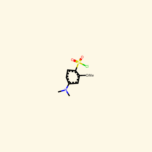 COc1cc(N(C)C)ccc1S(=O)(=O)Cl